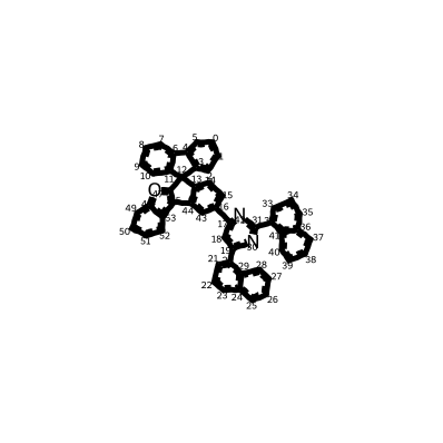 c1ccc2c(c1)-c1ccccc1C21c2ccc(-c3cc(-c4cccc5ccccc45)nc(-c4cccc5ccccc45)n3)cc2-c2c1oc1ccccc21